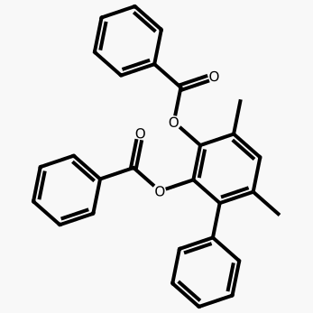 Cc1cc(C)c(-c2ccccc2)c(OC(=O)c2ccccc2)c1OC(=O)c1ccccc1